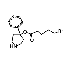 O=C(CCCCBr)OC1(c2ccccc2)CCNCC1